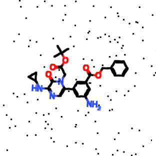 CC(C)(C)OC(=O)Cn1c(-c2cc(N)cc(C(=O)OCc3ccccc3)c2)cnc(NC2CC2)c1=O